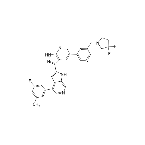 Cc1cc(F)cc(-c2cncc3[nH]c(-c4n[nH]c5ncc(-c6cncc(CN7CCC(F)(F)C7)c6)cc45)cc23)c1